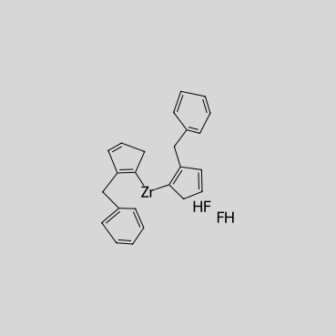 C1=CC(Cc2ccccc2)=[C]([Zr][C]2=C(Cc3ccccc3)C=CC2)C1.F.F